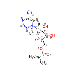 C=C(C)C(=O)OC[C@H]1O[C@@](C#N)(c2ccc3c(N)ncnn23)[C@H](O)[C@@H]1O